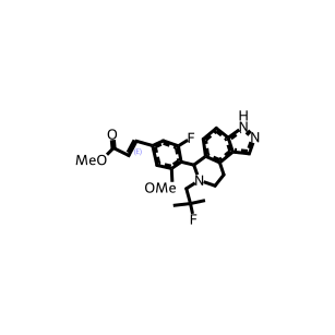 COC(=O)/C=C/c1cc(F)c(C2c3ccc4[nH]ncc4c3CCN2CC(C)(C)F)c(OC)c1